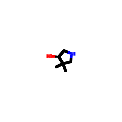 CC1(C)CNC[C@@H]1O